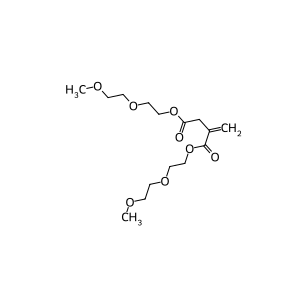 C=C(CC(=O)OCCOCCOC)C(=O)OCCOCCOC